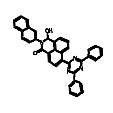 O=C1c2ccc(-c3nc(-c4ccccc4)nc(-c4ccccc4)n3)c3cccc(c23)C(O)N1c1ccc2ccccc2c1